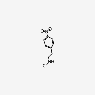 O=[N+]([O-])c1ccc(CCNCl)cc1